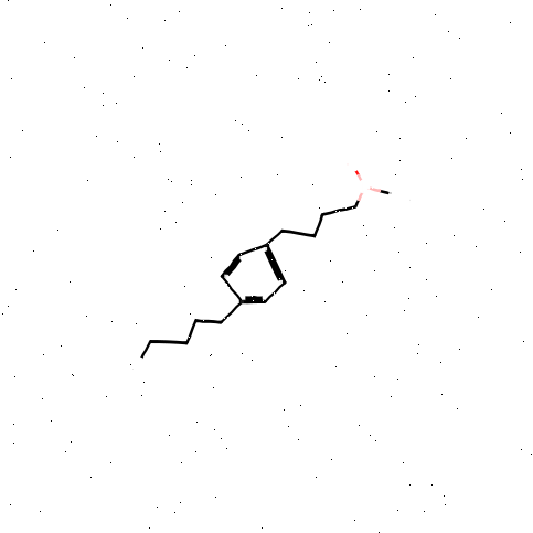 CCCCCc1ccc(CCCCB(C)O)cc1